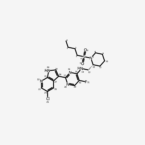 CCCCS(=O)(=O)N1CCCC[C@@H]1CNc1nc(-c2c[nH]c3ncc(Cl)cc23)ncc1F